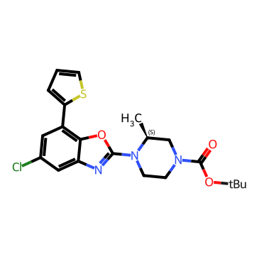 C[C@H]1CN(C(=O)OC(C)(C)C)CCN1c1nc2cc(Cl)cc(-c3cccs3)c2o1